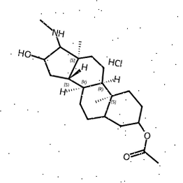 CNC1C(O)C[C@H]2[C@@H]3CCC4CC(OC(C)=O)CC[C@]4(C)[C@@H]3CC[C@]12C.Cl